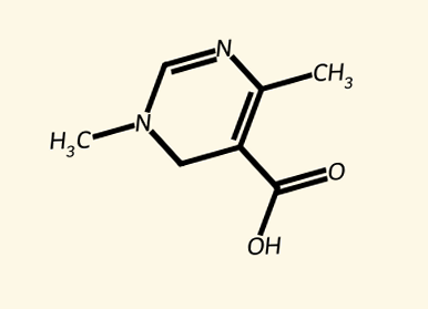 CC1=C(C(=O)O)CN(C)C=N1